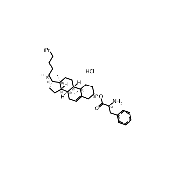 CC(C)CCC[C@@H](C)[C@H]1CC[C@H]2[C@@H]3CC=C4C[C@@H](OC(=O)[C@@H](N)Cc5ccccc5)CC[C@]4(C)[C@H]3CC[C@]12C.Cl